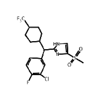 CS(=O)(=O)c1c[nH]c(C(c2ccc(F)c(Cl)c2)C2CCC(C(F)(F)F)CC2)n1